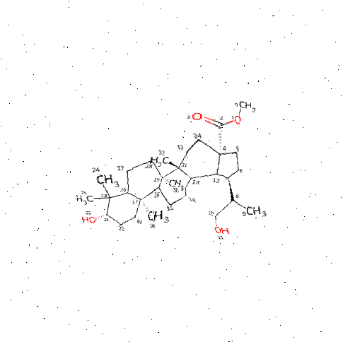 COC(=O)[C@]12CC[C@@H](C(C)CO)C1C1CCC3[C@@]4(C)CC[C@H](O)C(C)(C)C4CC[C@@]3(C)[C@]1(C)CC2